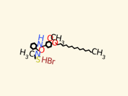 Br.CCCCCCCCCCCCCCOc1ccc(C(=O)Nc2ccccc2CN2CSC=C2C)cc1OC